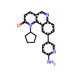 Nc1ccc(-c2ccc3ncc4ccc(=O)n(C5CCCC5)c4c3c2)cn1